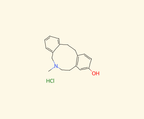 CN1CCc2cc(O)ccc2CCc2ccccc2C1.Cl